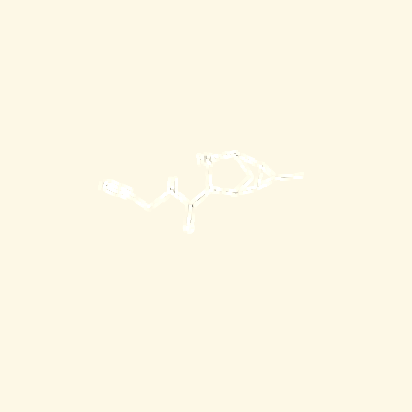 CC1C2C3CC(C(C(=O)NCC#N)N3)C12